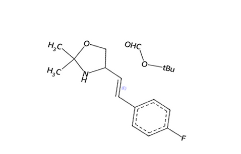 CC(C)(C)OC=O.CC1(C)NC(/C=C/c2ccc(F)cc2)CO1